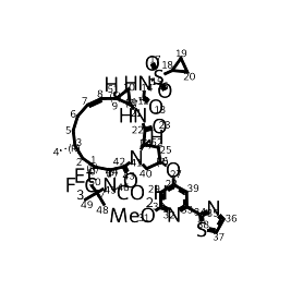 CC[C@@H]1C[C@H](C)CCC=C[C@@H]2C[C@@]2(C(=O)NS(=O)(=O)C2CC2)NC(=O)[C@@H]2C[C@@H](Oc3cc(OC)nc(-c4nccs4)c3)CN2C(=O)[C@H]1N(C(=O)O)C(C)(C)C(F)(F)F